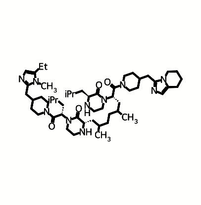 CCc1cnc(CC2CCN(C(=O)[C@H](CC(C)C)N3CCN[C@@H](CC(C)CCC(C)C[C@@H](C(=O)N4CCC(Cc5ncc6n5CCCC6)CC4)N4CCN[C@@H](CC(C)C)C4=O)C3=O)CC2)n1C